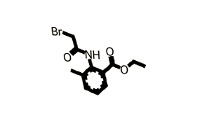 CCOC(=O)c1cccc(C)c1NC(=O)CBr